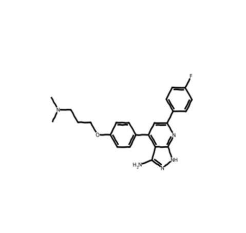 CN(C)CCCOc1ccc(-c2cc(-c3ccc(F)cc3)nc3[nH]nc(N)c23)cc1